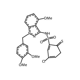 COc1ccc(Cn2nc(NS(=O)(=O)C3=CC(Cl)=CCC3=S)c3c(OC)cccc32)cc1OC